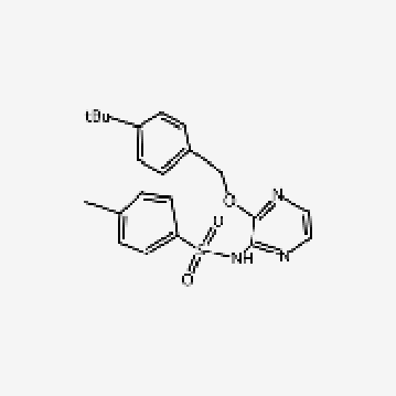 Cc1ccc(S(=O)(=O)Nc2nccnc2OCc2ccc(C(C)(C)C)cc2)cc1